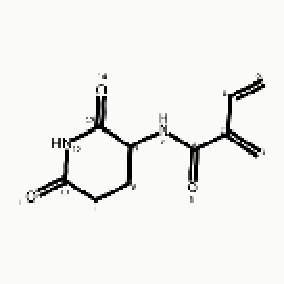 C=CC(=C)C(=O)NC1CCC(=O)NC1=O